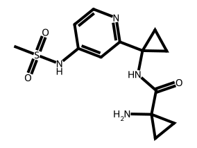 CS(=O)(=O)Nc1ccnc(C2(NC(=O)C3(N)CC3)CC2)c1